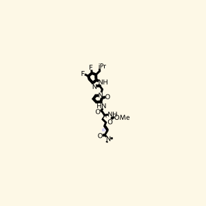 COC(=O)N[C@@H](CC/C=C/C(=O)N(C)C)C(=O)Nc1cccn(Cc2nc3cc(F)c(F)c(CC(C)C)c3[nH]2)c1=O